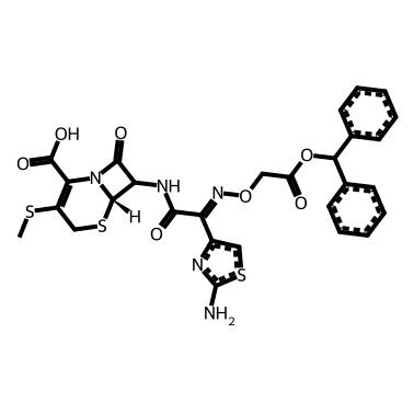 CSC1=C(C(=O)O)N2C(=O)C(NC(=O)C(=NOCC(=O)OC(c3ccccc3)c3ccccc3)c3csc(N)n3)[C@@H]2SC1